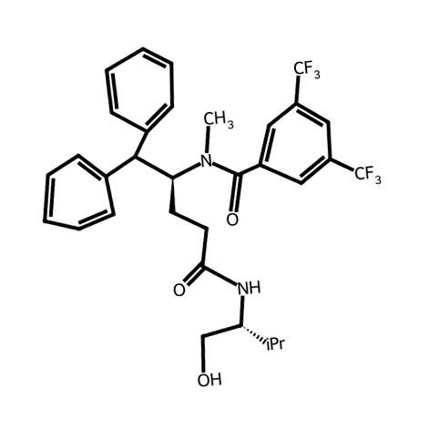 CC(C)[C@H](CO)NC(=O)CC[C@@H](C(c1ccccc1)c1ccccc1)N(C)C(=O)c1cc(C(F)(F)F)cc(C(F)(F)F)c1